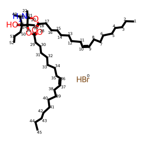 Br.CCCCCCCC/C=C\CCCCCCCC(=O)OC(C)(N)C(C)(OC(=O)CCCCCCC/C=C\CCCCCCCC)C(O)(CC)CCC